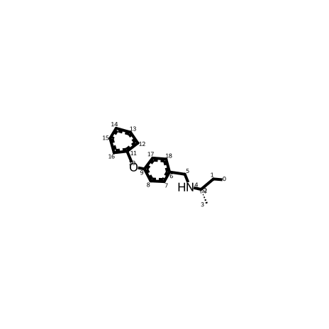 CC[C@H](C)NCc1ccc(Oc2ccccc2)cc1